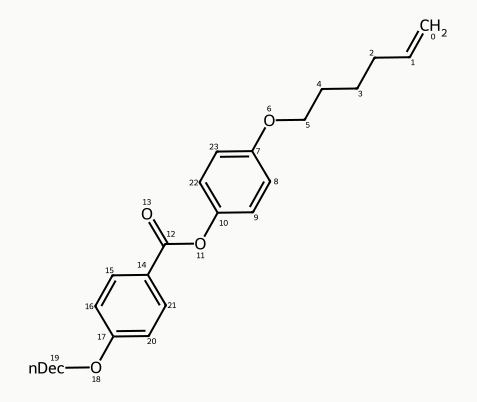 C=CCCCCOc1ccc(OC(=O)c2ccc(OCCCCCCCCCC)cc2)cc1